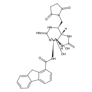 C=C1N[C@H]2[C@H](CN3C(=O)CCC3=O)NC(=N)N3C[C@H](NC(=O)c4cccc5c4Cc4ccccc4-5)C(O)(O)[C@]23N1